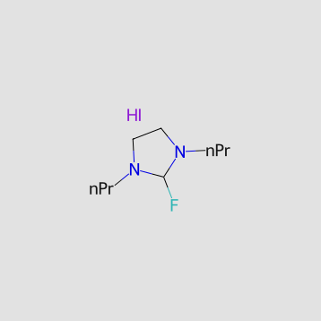 CCCN1CCN(CCC)C1F.I